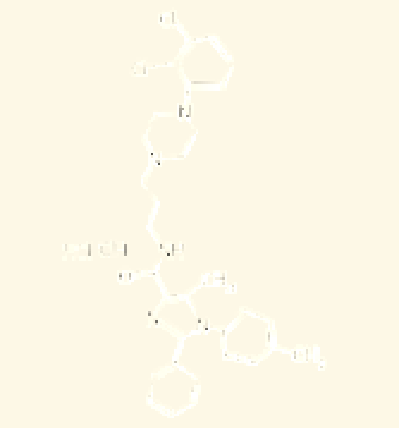 Cc1ccc(-n2c(-c3ccccc3)nc(C(=O)NCCCN3CCN(c4cccc(Cl)c4Cl)CC3)c2C)cc1.Cl.Cl